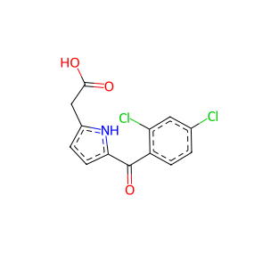 O=C(O)Cc1ccc(C(=O)c2ccc(Cl)cc2Cl)[nH]1